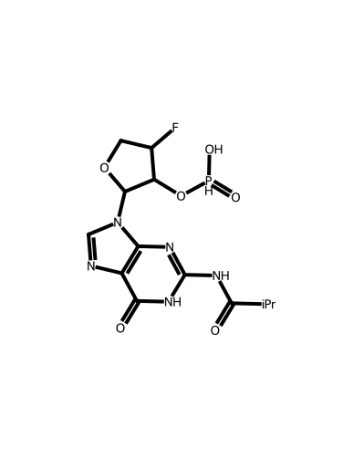 CC(C)C(=O)Nc1nc2c(ncn2C2OCC(F)C2O[PH](=O)O)c(=O)[nH]1